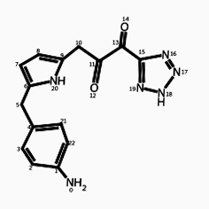 Nc1ccc(Cc2ccc(CC(=O)C(=O)c3nn[nH]n3)[nH]2)cc1